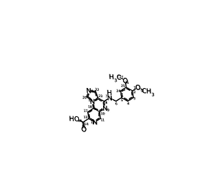 COc1ccc(CNc2nc3cnc(C(=O)O)cc3n3cncc23)cc1OC